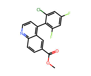 COC(=O)c1ccc2nccc(-c3c(F)cc(F)cc3Cl)c2c1